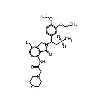 CCOc1cc(C(CS(C)(=O)=O)N2Cc3c(Cl)ccc(NC(=O)CN4CCOCC4)c3C2=O)ccc1OC